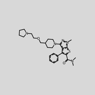 CN(C)C(=O)c1sc2c(c(N3CCC(COCCN4CCCC4)CC3)nn2C)c1-c1ccccc1